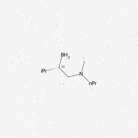 B[C@H](CN(C)CCC)C(C)C